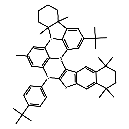 Cc1cc2c3c(c1)N1c4c(cc(C(C)(C)C)cc4C4(C)CCCCC14C)B3c1c(sc3cc4c(cc13)C(C)(C)CCC4(C)C)N2c1ccc(C(C)(C)C)cc1